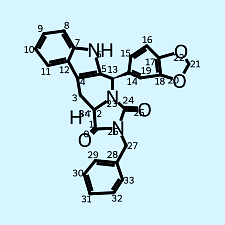 O=C1[C@H]2Cc3c([nH]c4ccccc34)[C@@H](c3ccc4c(c3)OCO4)N2C(=O)N1Cc1ccccc1